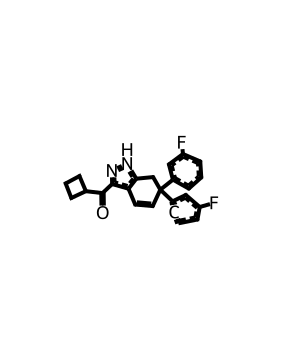 O=C(c1n[nH]c2c1C=CC(c1cccc(F)c1)(c1cccc(F)c1)C2)C1CCC1